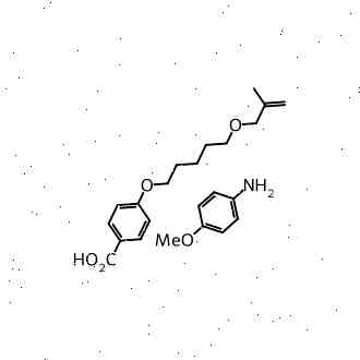 C=C(C)COCCCCCOc1ccc(C(=O)O)cc1.COc1ccc(N)cc1